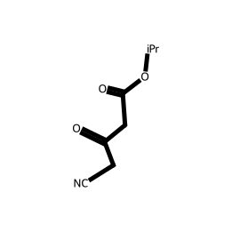 CC(C)OC(=O)CC(=O)CC#N